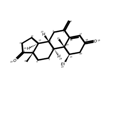 C=C1C[C@@H]2[C@H](CC[C@]3(C)C(=O)CC[C@@H]23)[C@]2(C)C1=CC(=O)C[C@H]2CC